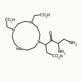 NCC(N)C(=O)C(CC(=O)O)N1CCNCCN(CC(=O)O)CCN(CC(=O)O)CC1